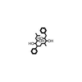 CC(C)CC(O)C(O)C(CCC(C)C(O)C(O)Cc1ccccc1)c1ccccc1